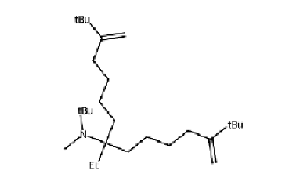 C=C(CCCCC(CC)(CCCCC(=C)C(C)(C)C)N(C)C(C)(C)C)C(C)(C)C